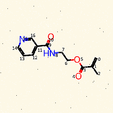 C=C(C)C(=O)OCCNC(=O)c1cccnc1